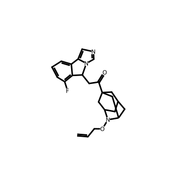 C=CCON1C2CC3CC1CC(C(=O)CC1c4c(F)cccc4-c4cncn41)(C3)C2